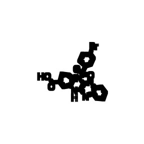 O=C(O)c1cccc(Nc2nc3ccccc3nc2NS(=O)(=O)c2ccc(Br)cc2)c1